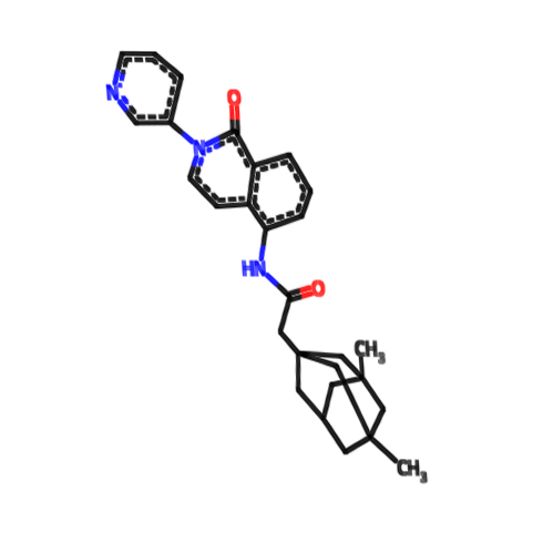 CC12CC3CC(C)(C1)CC(CC(=O)Nc1cccc4c(=O)n(-c5cccnc5)ccc14)(C3)C2